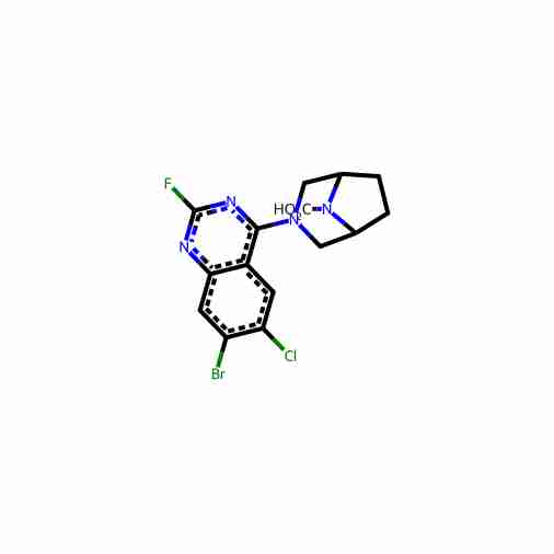 O=C(O)N1C2CCC1CN(c1nc(F)nc3cc(Br)c(Cl)cc13)C2